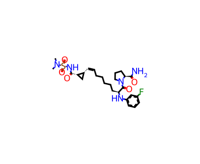 CN(C)S(=O)(=O)NC(=O)[C@H]1C[C@H]1/C=C\CCCCC[C@H](Nc1cccc(F)c1)C(=O)N1CCC[C@H]1C(N)=O